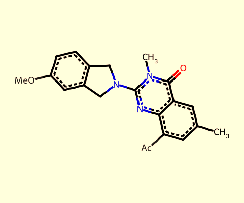 COc1ccc2c(c1)CN(c1nc3c(C(C)=O)cc(C)cc3c(=O)n1C)C2